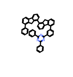 c1ccc(-c2nc(-c3ccccc3)nc(-c3cccc(-c4cccc5c4-c4cccc(-c6cccc7c6Cc6c(-c8ccccc8)cccc6-7)c4C5)c3)n2)cc1